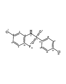 O=S(=O)(Nc1cc(Cl)ccc1F)c1ccc(Cl)cc1